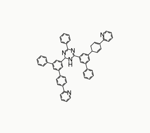 C1=CC(c2cc(C3=NC(c4ccccc4)=NC(c4cc(-c5ccccc5)cc(-c5ccc(-c6ccccn6)cc5)c4)N3)cc(-c3ccccc3)c2)CC=C1c1ccccn1